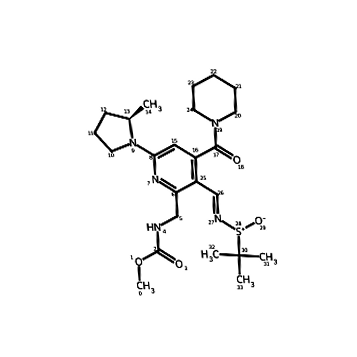 COC(=O)NCc1nc(N2CCC[C@H]2C)cc(C(=O)N2CCCCC2)c1/C=N/[S+]([O-])C(C)(C)C